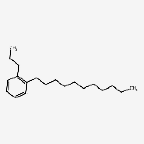 CCCCCCCCCCCc1[c]cccc1CCC